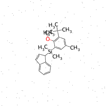 COc1c(C(C)(C)C)cc(C)cc1[Si](C)(C)C1C=Cc2ccccc21